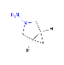 NN1C[C@H]2C[C@H]2C1